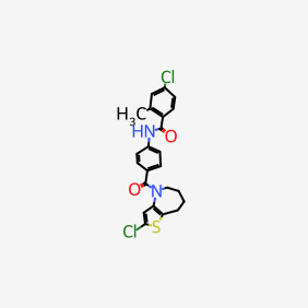 Cc1cc(Cl)ccc1C(=O)Nc1ccc(C(=O)N2CCCCc3sc(Cl)cc32)cc1